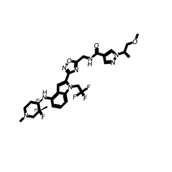 COCC(C)n1cc(C(=O)NCc2nc(-c3cc4c(N[C@@H]5CCN(C)C[C@@]5(C)F)cccc4n3CC(F)(F)F)no2)cn1